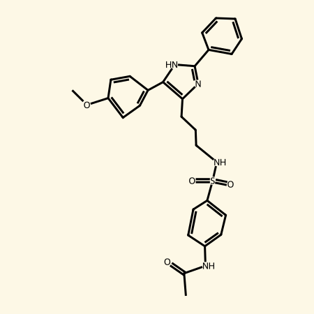 COc1ccc(-c2[nH]c(-c3ccccc3)nc2CCCNS(=O)(=O)c2ccc(NC(C)=O)cc2)cc1